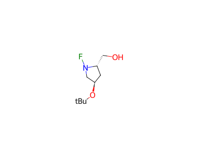 CC(C)(C)O[C@@H]1C[C@@H](CO)N(F)C1